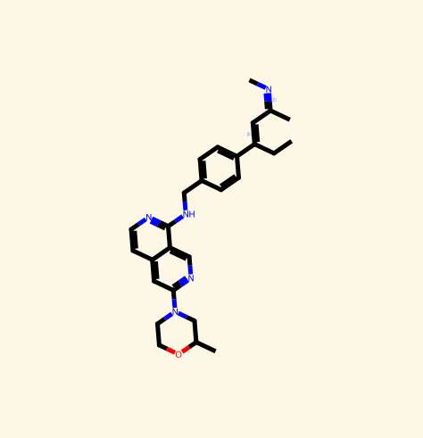 CC/C(=C\C(C)=N/C)c1ccc(CNc2nccc3cc(N4CCOC(C)C4)ncc23)cc1